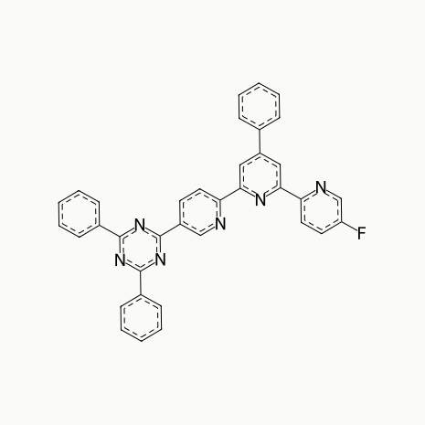 Fc1ccc(-c2cc(-c3ccccc3)cc(-c3ccc(-c4nc(-c5ccccc5)nc(-c5ccccc5)n4)cn3)n2)nc1